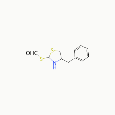 O=CSC1NC(Cc2ccccc2)CS1